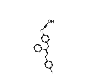 OC#COc1ccc(C/C(=C/Cc2ccc(I)cc2)c2ccccc2)cc1